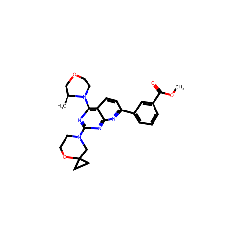 COC(=O)c1cccc(-c2ccc3c(N4CCOC[C@@H]4C)nc(N4CCOC5(CC5)C4)nc3n2)c1